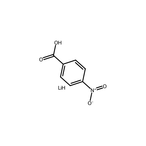 O=C(O)c1ccc([N+](=O)[O-])cc1.[LiH]